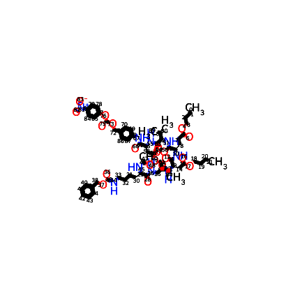 CCCCOC(=O)CC[C@H](NC(=O)[C@H](CC(=O)OCCCC)NC(=O)CNC(=O)[C@H](CCCCNC(=O)OCc1ccccc1)NC(C)=O)C(=O)N[C@H](C(=O)N[C@@H](CC(=O)OCCCC)C(=O)Nc1ccc(COC(=O)Oc2ccc([N+](=O)[O-])cc2)cc1)C(C)C